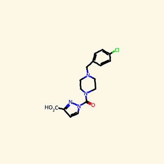 O=C(O)c1ccn(C(=O)N2CCN(Cc3ccc(Cl)cc3)CC2)n1